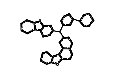 c1ccc(-c2cccc(N(c3ccc4c(c3)oc3ccccc34)c3ccc4ccc5oc6ccccc6c5c4c3)c2)cc1